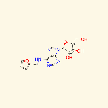 OC[C@H]1OC(n2cnc3c(NCc4ccco4)ncnc32)[C@@H](O)[C@@H]1O